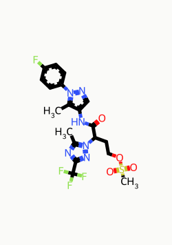 Cc1c(NC(=O)C(CCOS(C)(=O)=O)n2nc(C(F)(F)F)nc2C)cnn1-c1ccc(F)cc1